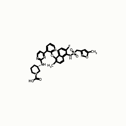 Cc1cc(CS(=O)(=O)Nc2c(F)ccc3c(Oc4ncccc4-c4ccnc(N[C@H]5CCCN(C(=O)O)C5)n4)c(C)ccc23)no1